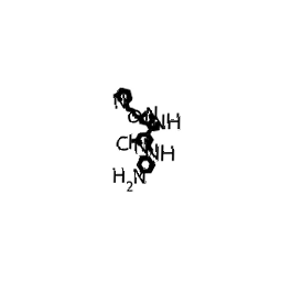 N[C@H]1CC[C@H](Nc2cc(-c3c[nH]c4ncc(OCCc5ccccn5)cc34)cc(Cl)n2)CC1